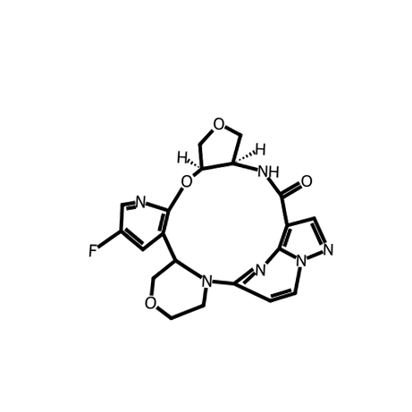 O=C1N[C@@H]2COC[C@@H]2Oc2ncc(F)cc2C2COCCN2c2ccn3ncc1c3n2